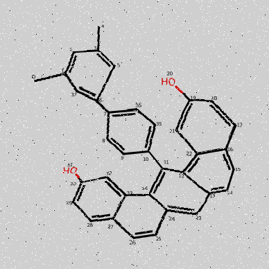 Cc1cc(C)cc(-c2ccc(-c3c4c(ccc5ccc(O)cc54)cc4ccc5ccc(O)cc5c34)cc2)c1